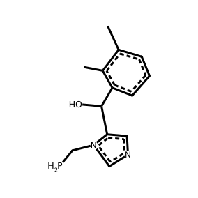 Cc1cccc(C(O)c2cncn2CP)c1C